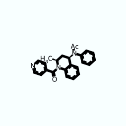 CC(=O)N(c1ccccc1)[C@@H]1C[C@H](C)N(C(=O)c2ccncc2)c2ccccc21